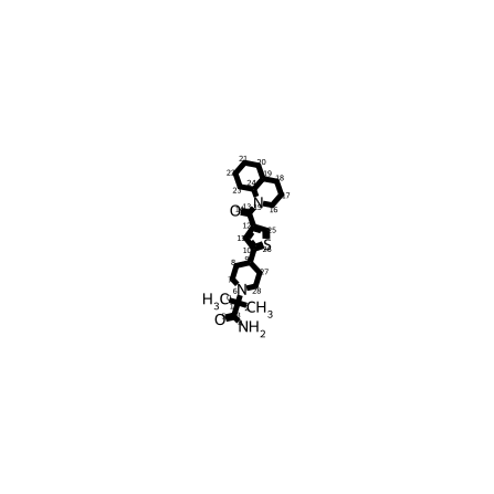 CC(C)(C(N)=O)N1CCC(c2cc(C(=O)N3CCCC4CCCCC43)cs2)CC1